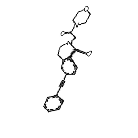 O=C(CN1CCc2cc(C#Cc3ccccc3)ccc2C1=O)N1CCOCC1